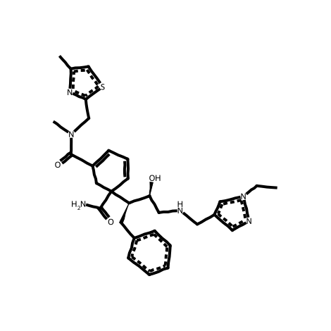 CCn1cc(CNC[C@H](O)[C@@H](Cc2ccccc2)C2(C(N)=O)C=CC=C(C(=O)N(C)Cc3nc(C)cs3)C2)cn1